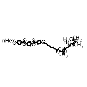 C=C(C)C(=O)C(C)(C)OCCCCCC(=O)C(C)(C)OCCCCCCCCOc1ccc(C(=O)Oc2ccc(OC(=O)c3ccc(OCCCCCC)cc3)cc2)cc1